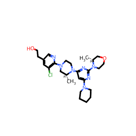 C[C@@H]1CN(c2ncc(CCO)cc2Cl)CCN1c1cc(N2CCCCC2)nc(N2CCOC[C@H]2C)n1